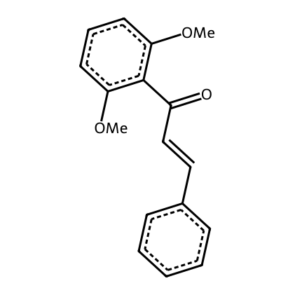 COc1cccc(OC)c1C(=O)C=Cc1ccccc1